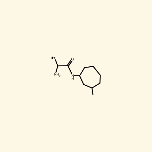 CC1CCCCC(NC(=O)C(N)C(C)C)C1